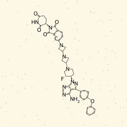 Nc1ncnc2c1c(-c1ccc(Oc3ccccc3)cc1)nn2[C@@H]1CCN(C2CN(C3CN(c4ccc5c(c4)C(=O)N([C@@H]4CCC(=O)NC4=O)C5=O)C3)C2)C[C@H]1F